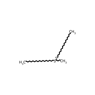 CCCCCCCCCCCCCCCCCCSC(CCC)SCCCCCCCCCCCCCCCCCC